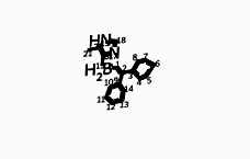 BC=C(c1ccccc1)c1ccccc1.Cc1nc[nH]c1C